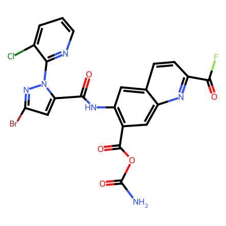 NC(=O)OC(=O)c1cc2nc(C(=O)F)ccc2cc1NC(=O)c1cc(Br)nn1-c1ncccc1Cl